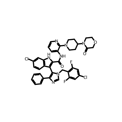 O=C(Nc1cccnc1N1CCC(N2CCOCC2=O)CC1)c1[nH]c2cc(Cl)ccc2c1-c1c(-c2ccccc2)ncn1Cc1c(F)cc(Cl)cc1F